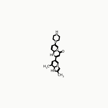 CC1=CN2C=C(C3=CC(=O)N4C=C(N5CCNCC5)C=CC4P3)C=C(C)C2N1